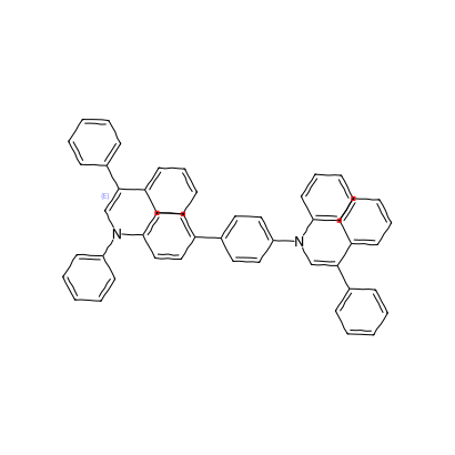 C1=CCCC(/C(=C\N(c2ccccc2)c2ccc(-c3ccc(N(C=C(c4ccccc4)c4ccccc4)c4ccccc4)cc3)cc2)c2ccccc2)=C1